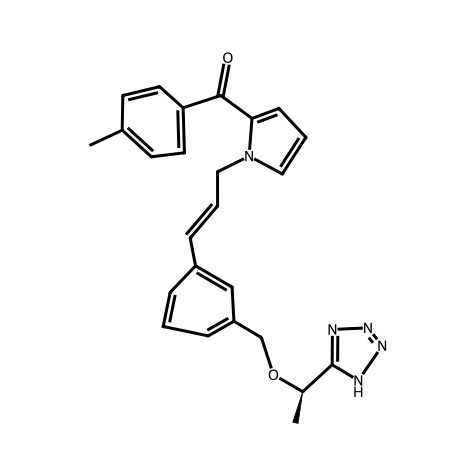 Cc1ccc(C(=O)c2cccn2C/C=C/c2cccc(CO[C@H](C)c3nnn[nH]3)c2)cc1